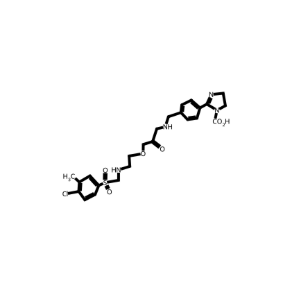 Cc1cc(S(=O)(=O)CNCCOCC(=O)CNCc2ccc(C3=NCCN3C(=O)O)cc2)ccc1Cl